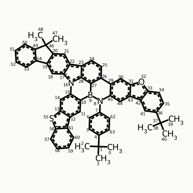 CC(C)(C)c1ccc(N2B3c4cc5c(cc4-n4c6cc7c(cc6c6ccc(c3c64)-c3cc4oc6ccc(C(C)(C)C)cc6c4cc32)C(C)(C)c2ccccc2-7)sc2ccccc25)cc1